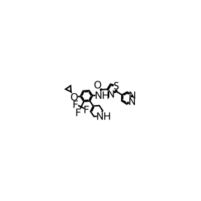 O=C(Nc1ccc(OC2CC2)c(C(F)(F)F)c1C1=CCNCC1)c1csc(-c2ccnnc2)n1